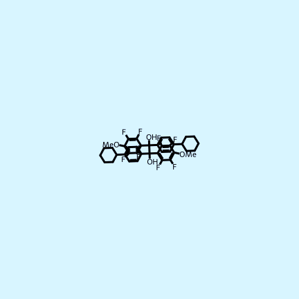 COc1c(F)c(F)c(C(O)(c2ccc(C3CCCCC3)cc2)C(O)(c2ccc(C3CCCCC3)cc2)c2c(F)c(F)c(OC)c(F)c2F)c(F)c1F